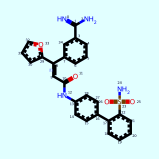 N=C(N)c1cccc(/C(=C\C(=O)Nc2ccc(-c3ccccc3S(N)(=O)=O)cc2)c2ccco2)c1